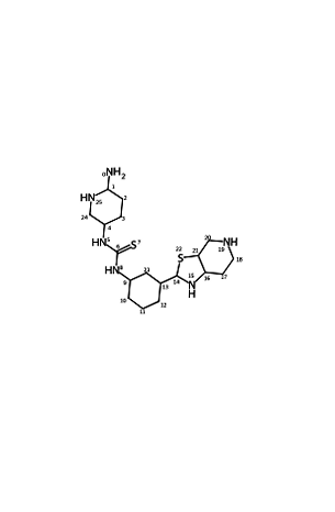 NC1CCC(NC(=S)NC2CCCC(C3NC4CCNCC4S3)C2)CN1